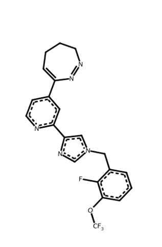 Fc1c(Cn2cnc(-c3cc(C4=CCCCN=N4)ccn3)c2)cccc1OC(F)(F)F